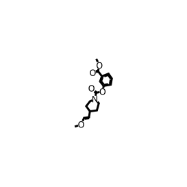 CO/C=C/C1CCN(C(=O)Oc2cccc(C(=O)OC)c2)CC1